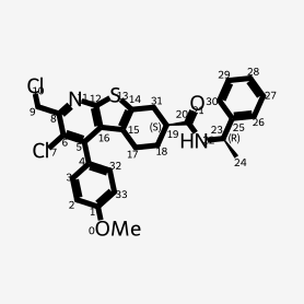 COc1ccc(-c2c(Cl)c(CCl)nc3sc4c(c23)CC[C@H](C(=O)N[C@H](C)c2ccccc2)C4)cc1